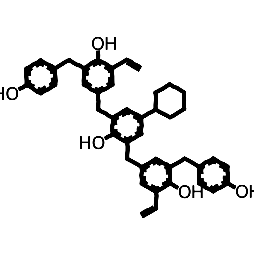 C=Cc1cc(Cc2cc(C3CCCCC3)cc(Cc3cc(C=C)c(O)c(Cc4ccc(O)cc4)c3)c2O)cc(Cc2ccc(O)cc2)c1O